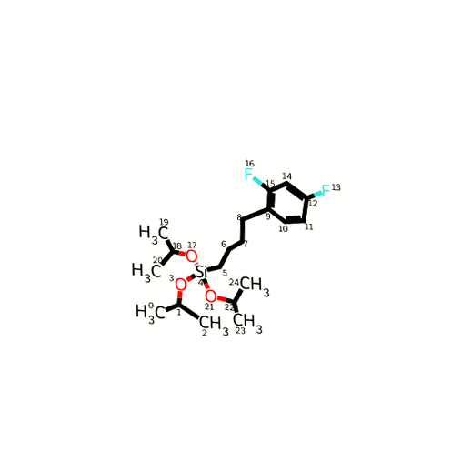 CC(C)O[Si](CCCCc1ccc(F)cc1F)(OC(C)C)OC(C)C